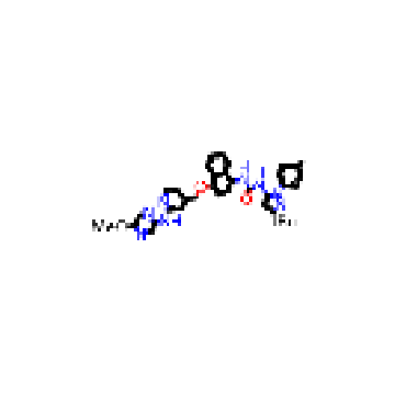 COc1cnc(Nc2cc(COc3ccc(NC(=O)Nc4cc(C(C)(C)C)nn4-c4ccc(C)cc4)c4ccccc34)ccn2)cn1